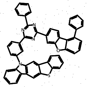 c1ccc(-c2nc(-c3cccc(-n4c5ccccc5c5cc6sc7ccccc7c6cc54)c3)nc(-c3ccc4c(c3)oc3cccc(-c5ccccc5)c34)n2)cc1